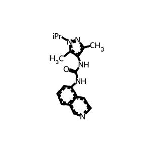 Cc1nn(C(C)C)c(C)c1NC(=O)Nc1cccc2cnccc12